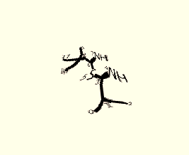 CC(C)C(=N)SC(=N)C(C)(C)C